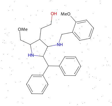 COCC1NC(C(c2ccccc2)c2ccccc2)C(NCc2ccccc2OC)C1CCO